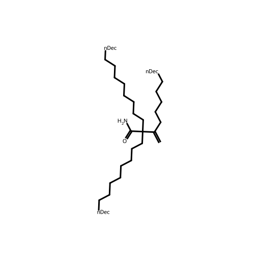 C=C(CCCCCCCCCCCCCCC)C(CCCCCCCCCCCCCCCCCC)(CCCCCCCCCCCCCCCCCC)C(N)=O